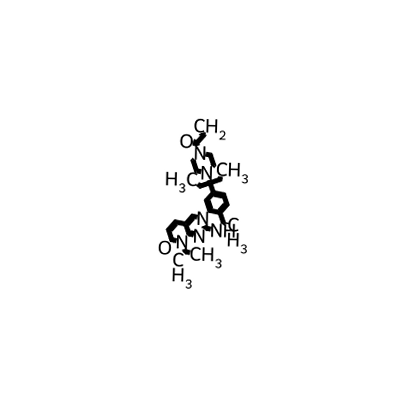 C=CC(=O)N1CCN(C(CC)(CC)c2ccc([C@H](C)Nc3ncc4ccc(=O)n(C(C)C)c4n3)cc2)CC1